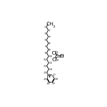 CCCCCCCCCCCCCCCC[n+]1ccccc1.[Cl][Zn-]([Cl])[Cl]